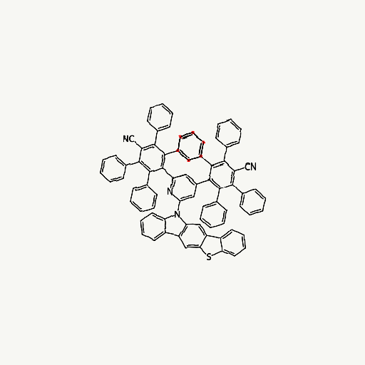 N#Cc1c(-c2ccccc2)c(-c2ccccc2)c(-c2cc(-c3c(-c4ccccc4)c(-c4ccccc4)c(C#N)c(-c4ccccc4)c3-c3ccccc3)nc(-n3c4ccccc4c4cc5sc6ccccc6c5cc43)c2)c(-c2ccccc2)c1-c1ccccc1